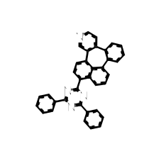 c1ccc(-c2nc(-c3ccccc3)nc(-c3ccc4c5c(cccc35)-c3ccccc3-c3ccncc3-4)n2)cc1